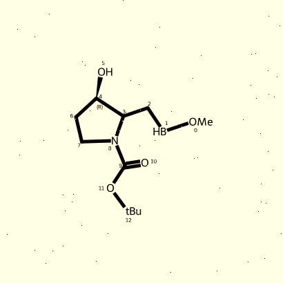 COBCC1[C@H](O)CCN1C(=O)OC(C)(C)C